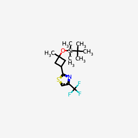 CC1(O[Si](C)(C)C(C)(C)C)CC(c2nc(C(F)(F)F)cs2)C1